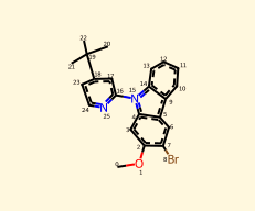 COc1cc2c(cc1Br)c1ccccc1n2-c1cc(C(C)(C)C)ccn1